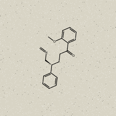 C=NC[C@@H](CCC(=O)c1ccccc1OC)c1ccccc1